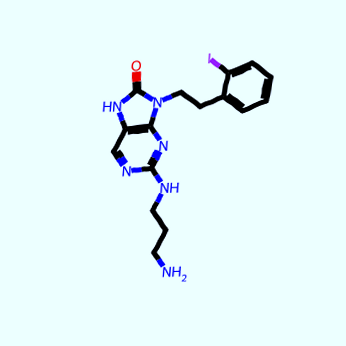 NCCCNc1ncc2[nH]c(=O)n(CCc3ccccc3I)c2n1